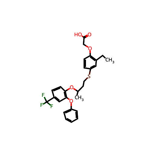 CCc1cc(SCCC(C)Oc2ccc(C(F)(F)F)cc2Oc2ccccc2)ccc1OCC(=O)O